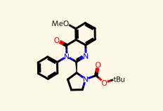 COc1cccc2nc([C@@H]3CCCN3C(=O)OC(C)(C)C)n(-c3ccccc3)c(=O)c12